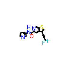 O=C(NC1CN2CCC1C2)c1cc2c(C#CC(F)F)csc2cn1